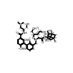 COc1ccc(C(=O)N[C@@H](CC(C)C)CN(C)C)cc1-c1cccc(CN2O[C@@H](CO)[C@H]([C@H](C)O)C2C(=O)N[C@H]2C[C@H]3C[C@@H]([C@@H]2C)C3(C)C)c1OC